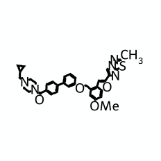 COc1cc(COc2cccc(-c3ccc(C(=O)N4CCN(CC5CC5)CC4)cc3)c2)c2cc(-c3cn4nc(C)sc4n3)oc2c1